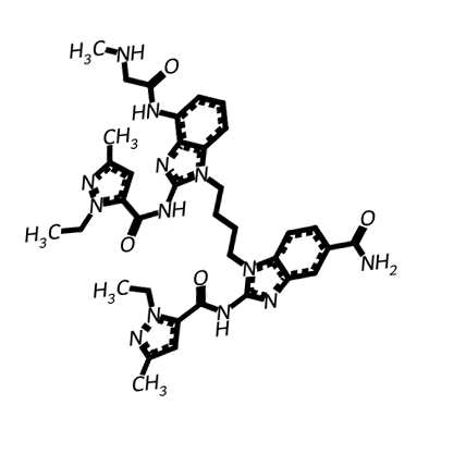 CCn1nc(C)cc1C(=O)Nc1nc2cc(C(N)=O)ccc2n1CCCCn1c(NC(=O)c2cc(C)nn2CC)nc2c(NC(=O)CNC)cccc21